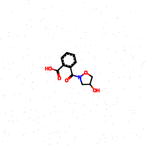 O=C(O)c1ccccc1C(=O)N1CC(O)CO1